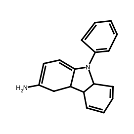 NC1=CC=C2C(C1)C1C=CC=CC1N2c1ccccc1